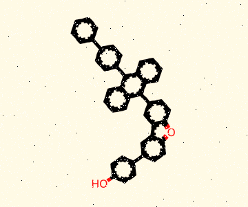 Oc1ccc(-c2ccc3oc4ccc(-c5c6ccccc6c(-c6ccc(-c7ccccc7)cc6)c6ccccc56)cc4c3c2)cc1